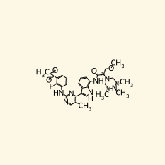 COC[C@H](C(=O)Nc1cccc2c(-c3nc(Nc4cccc(S(C)(=O)=O)c4F)ncc3C)c[nH]c12)N1C[C@H](C)N(C)[C@@H](C)C1